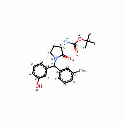 CC(C)(C)OC(=O)N[C@H]1CCN(C(c2cccc(O)c2)c2cccc(Cl)c2)C1=O